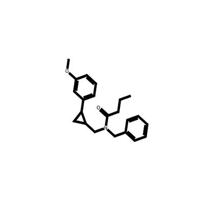 CCCC(=O)N(Cc1ccccc1)CC1CC1c1cccc(OC)c1